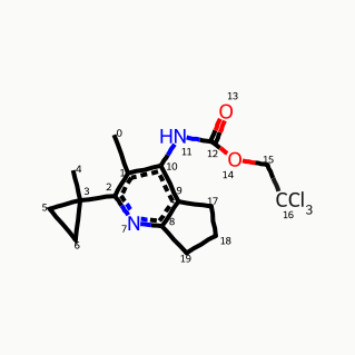 Cc1c(C2(C)CC2)nc2c(c1NC(=O)OCC(Cl)(Cl)Cl)CCC2